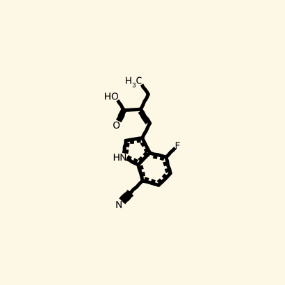 CCC(=Cc1c[nH]c2c(C#N)ccc(F)c12)C(=O)O